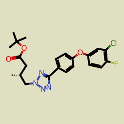 C[C@H](CC(=O)OC(C)(C)C)Cn1nnc(-c2ccc(Oc3ccc(F)c(Cl)c3)cc2)n1